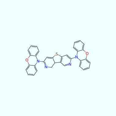 C1=C2Sc3cc(N4c5ccccc5Oc5ccccc54)ncc3C2CN=C1N1c2ccccc2Oc2ccccc21